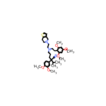 COc1cc(OC)c(CCN(CCCC(C#N)(c2ccc(OC)c(OC)c2)C(C)C)CCN2CCc3sccc3C2)c(OC)c1